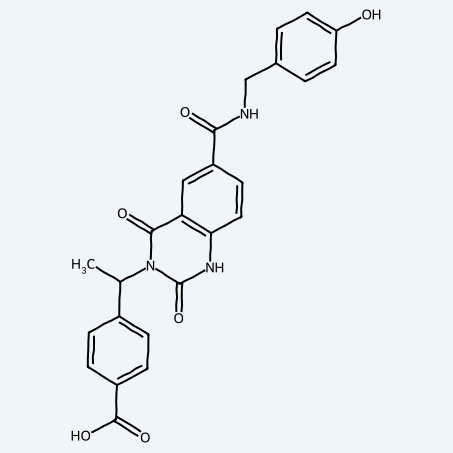 CC(c1ccc(C(=O)O)cc1)n1c(=O)[nH]c2ccc(C(=O)NCc3ccc(O)cc3)cc2c1=O